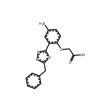 Bc1ccc(OCC(=O)O)c(-c2nc(Cc3ccccc3)no2)c1